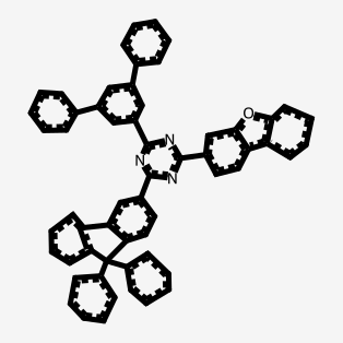 c1ccc(-c2cc(-c3ccccc3)cc(-c3nc(-c4ccc5c(c4)-c4ccccc4C5(c4ccccc4)c4ccccc4)nc(-c4ccc5c(c4)oc4ccccc45)n3)c2)cc1